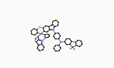 CC1(C)c2ccccc2-c2ccc(N(c3ccccc3)c3ccc(-n4c5ccccc5c5cc6c(cc54)C4(c5ccccc5S6)c5ccccc5-n5c6ccccc6c6cccc4c65)cc3)cc21